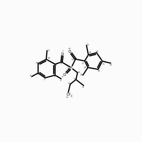 Cc1cc(C)c(C(=O)P(=O)(CC(C)CC(F)(F)F)C(=O)c2c(C)cc(C)cc2C)c(C)c1